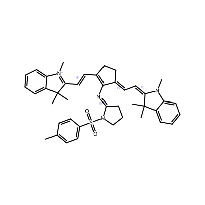 Cc1ccc(S(=O)(=O)N2CCC/C2=N\C2=C(/C=C/C3=[N+](C)c4ccccc4C3(C)C)CC/C2=C\C=C2\N(C)c3ccccc3C2(C)C)cc1